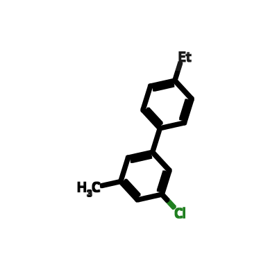 CCc1ccc(-c2cc(C)cc(Cl)c2)cc1